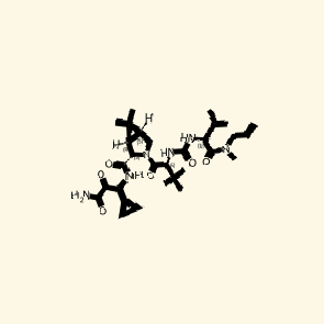 C=CCN(C)C(=O)[C@@H](NC(=O)N[C@H](C(=O)N1C[C@H]2[C@@H]([C@H]1C(=O)NC(C(=O)C(N)=O)C1CC1)C2(C)C)C(C)(C)C)C(C)C